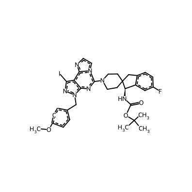 COc1ccc(Cn2nc(I)c3c2nc(N2CCC4(CC2)Cc2ccc(F)cc2[C@H]4NC(=O)OC(C)(C)C)n2ccnc32)cc1